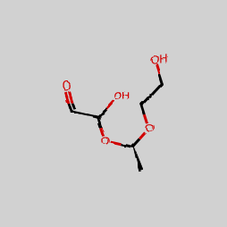 C[C@H](OCCO)OC(O)C=O